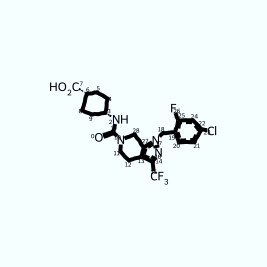 O=C(N[C@H]1CC[C@@H](C(=O)O)CC1)N1CCc2c(C(F)(F)F)nn(Cc3ccc(Cl)cc3F)c2C1